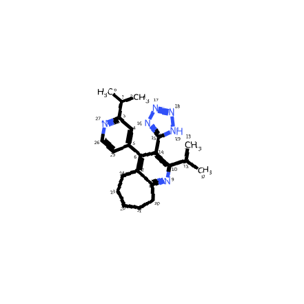 CC(C)c1cc(-c2c3c(nc(C(C)C)c2-c2nnn[nH]2)CCCCC3)ccn1